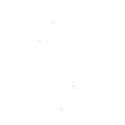 COc1cccc(S(=O)(=O)c2cccc(OC)c2OC)c1OC